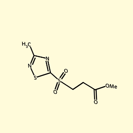 COC(=O)CCS(=O)(=O)c1nc(C)ns1